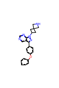 c1ccc(Oc2ccc(-c3nn(C4CC5(CNC5)C4)c4ncncc34)cc2)cc1